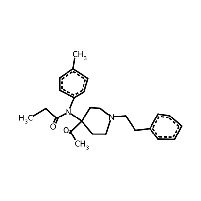 CCC(=O)N(c1ccc(C)cc1)C1(C(C)=O)CCN(CCc2ccccc2)CC1